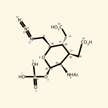 CC(=O)N[C@H]1[C@@H](OP(=O)(O)O)O[C@@H](CN=[N+]=[N-])[C@H](CC(=O)O)[C@H]1CC(=O)O